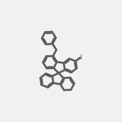 Ic1ccc2c(c1)-c1c(Cc3ccccc3)cccc1C21C2=C(CCC=C2)c2ccccc21